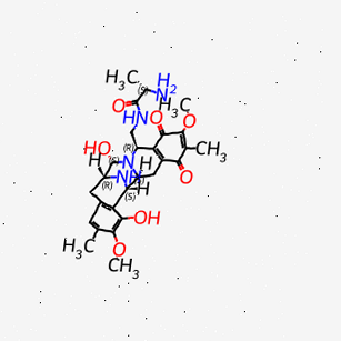 COC1=C(C)C(=O)C2=C(C1=O)[C@H](CNC(=O)[C@H](C)N)N1[C@@H](O)[C@H]3Cc4cc(C)c(OC)c(O)c4[C@H](N3)[C@@H]1C2